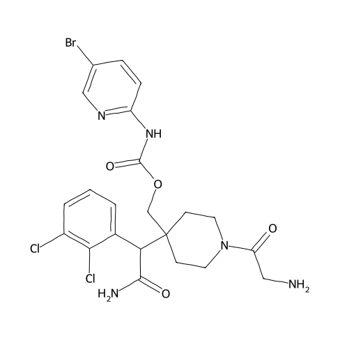 NCC(=O)N1CCC(COC(=O)Nc2ccc(Br)cn2)(C(C(N)=O)c2cccc(Cl)c2Cl)CC1